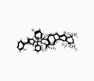 CC1(C)CCC(C)(C)c2cc3c(cc21)Cc1cc2c(cc1-3)C(C)(C)CC(C(C1=CC(c3ccccc3)=CC1)(c1ccccc1)c1ccccc1)C2(C)C